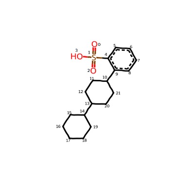 O=S(=O)(O)c1ccccc1C1CCC(C2CCCCC2)CC1